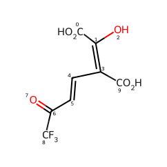 O=C(O)C(O)=C(C=CC(=O)C(F)(F)F)C(=O)O